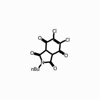 CCCCN1C(=O)C2C(=O)C(Cl)=C(Cl)C(=O)C2C1=O